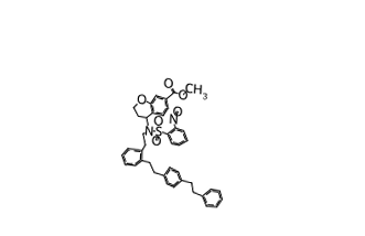 COC(=O)c1ccc2c(c1)OCCC2N(CCc1ccccc1CCc1ccc(CCc2ccccc2)cc1)S(=O)(=O)c1ccccc1N=O